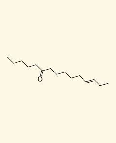 CCC=CCCCCCC(=O)CCCCC